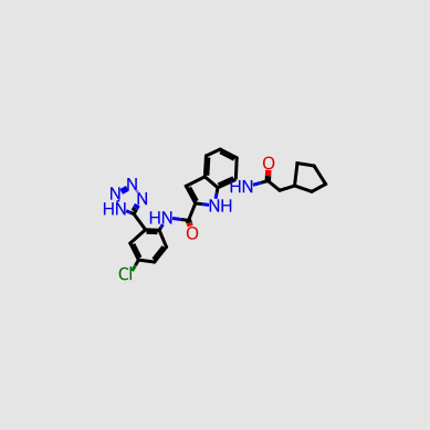 O=C(CC1CCCC1)Nc1cccc2cc(C(=O)Nc3ccc(Cl)cc3-c3nnn[nH]3)[nH]c12